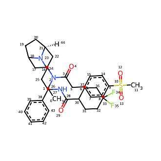 CCN(C(=O)Cc1ccc(S(C)(=O)=O)cc1)C1CC2CC[C@@H](C1)N2CCC(NC(=O)C1CCC(F)(F)CC1)c1ccccc1